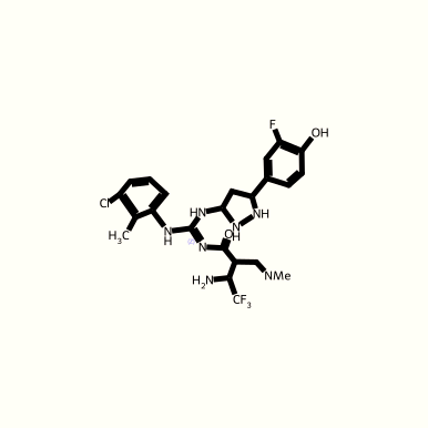 CNCC(C(=O)/N=C(/Nc1cccc(Cl)c1C)NC1CC(c2ccc(O)c(F)c2)NN1)C(N)C(F)(F)F